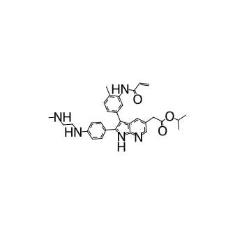 C=CC(=O)Nc1cc(-c2c(-c3ccc(NCCNC)cc3)[nH]c3ncc(CC(=O)OC(C)C)cc23)ccc1C